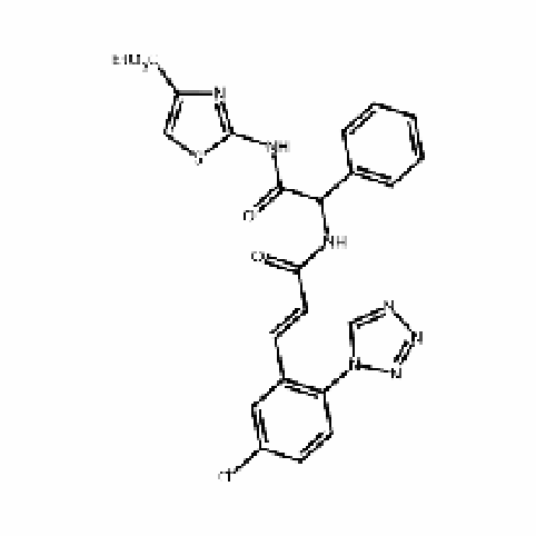 CCOC(=O)c1csc(NC(=O)C(NC(=O)/C=C/c2cc(Cl)ccc2-n2cnnn2)c2ccccc2)n1